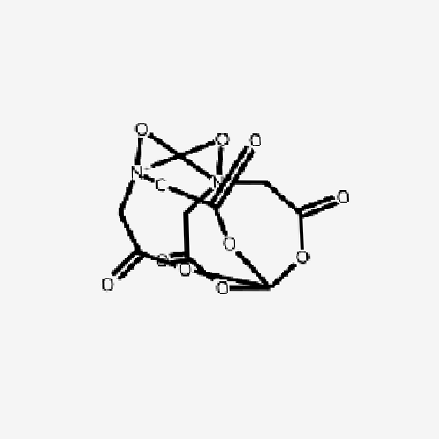 O=C1C[N+]23CC(=O)OC4(O1)OC(=O)C[N+]1(CC(=O)O4)OC21O3